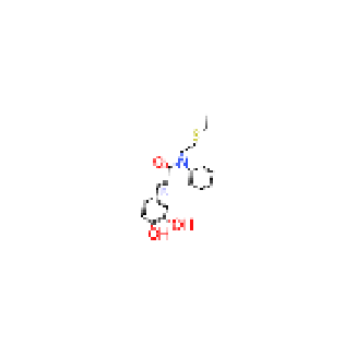 CCSCCN(C(=O)/C=C/c1ccc(O)c(O)c1)c1ccccc1